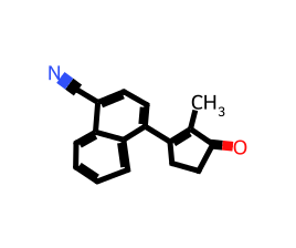 CC1=C(c2ccc(C#N)c3ccccc23)CCC1=O